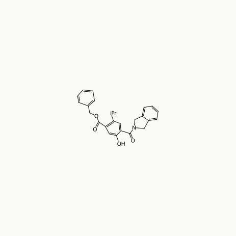 CC(C)c1cc(C(=O)N2Cc3ccccc3C2)c(O)cc1C(=O)OCc1ccccc1